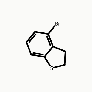 Brc1cccc2c1CCS2